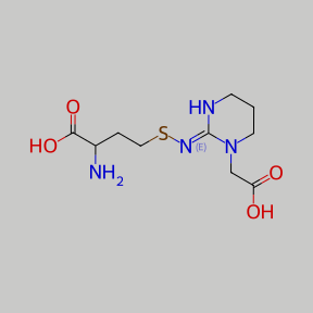 NC(CCS/N=C1\NCCCN1CC(=O)O)C(=O)O